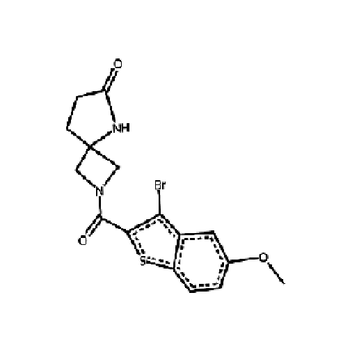 COc1ccc2sc(C(=O)N3CC4(CCC(=O)N4)C3)c(Br)c2c1